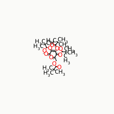 CC(C)(C)C(=O)OC[C@H]1O[C@@H]([O])[C@H](OC(=O)C(C)(C)C)[C@@H](OC(=O)C(C)(C)C)[C@H]1OC(=O)C(C)(C)C